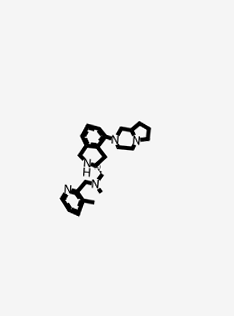 Cc1cccnc1CN(C)C[C@H]1Cc2c(cccc2N2CCN3CCCC3C2)CN1